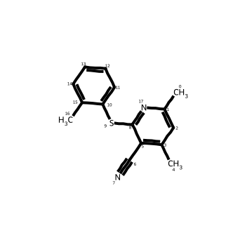 Cc1cc(C)c(C#N)c(Sc2ccccc2C)n1